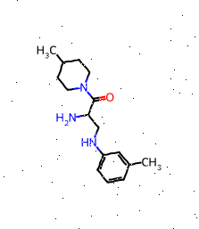 Cc1cccc(NCC(N)C(=O)N2CCC(C)CC2)c1